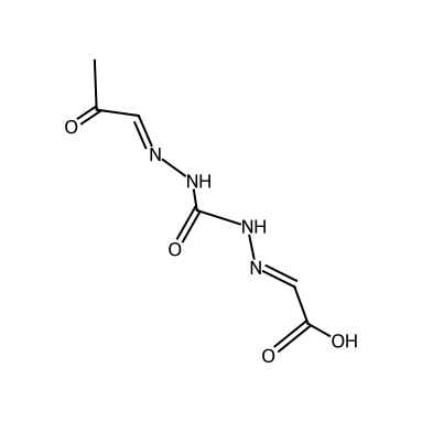 CC(=O)/C=N/NC(=O)N/N=C/C(=O)O